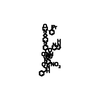 CC(C)c1ccccc1[C@H]1COCCN1C1CC2(CCN(c3ccc(C(=O)NS(=O)(=O)c4cc([N+](=O)[O-])c5c(n4)OC[C@H](Cc4ccccc4)N5)c(Oc4cnc5[nH]ccc5c4)c3)CC2)C1